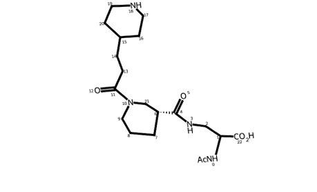 CC(=O)NC(CNC(=O)[C@@H]1CCCN(C(=O)CCC2CCNCC2)C1)C(=O)O